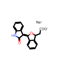 O=C([O-])CC1OC(=C2C(=O)Nc3ccccc32)c2ccccc21.[Na+]